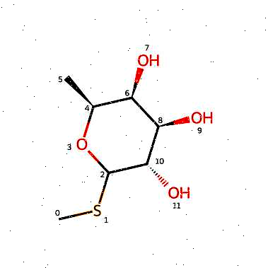 CSC1O[C@@H](C)[C@@H](O)[C@@H](O)[C@@H]1O